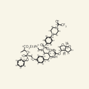 CCOC(=O)[C@H](C)OP(=O)(COc1ccc(C[C@H](NC(=O)O[C@H]2CO[C@H]3OCC[C@H]32)[C@H](O)CN(CC(C)C)S(=O)(=O)c2ccc(N3CCN(C(=O)C(F)(F)F)CC3)cc2)cc1)Oc1ccccc1